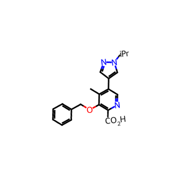 Cc1c(-c2cnn(C(C)C)c2)cnc(C(=O)O)c1OCc1ccccc1